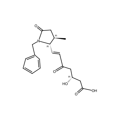 C[C@@H]1CC(=O)N(Cc2ccccc2)[C@H]1C=CC(=O)C[C@@H](O)CC(=O)O